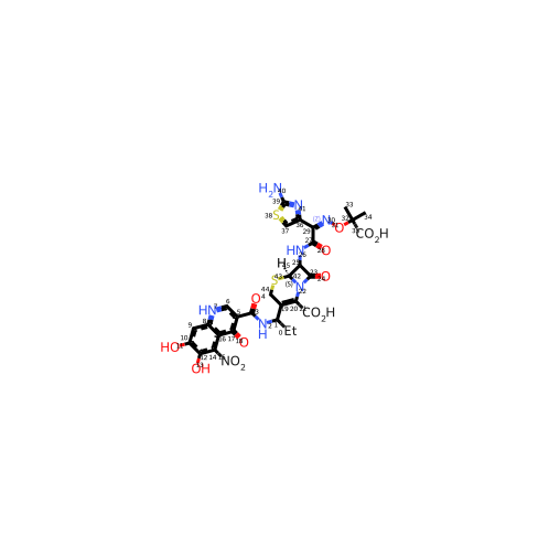 CCC(NC(=O)c1c[nH]c2cc(O)c(O)c([N+](=O)[O-])c2c1=O)C1=C(C(=O)O)N2C(=O)C(NC(=O)/C(=N\OC(C)(C)C(=O)O)c3csc(N)n3)[C@@H]2SC1